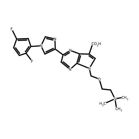 C[Si](C)(C)CCOCn1cc(C(=O)O)c2nc(-c3cn(-c4cc(F)ccc4F)cn3)cnc21